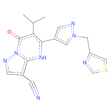 CC(C)c1c(-c2cnn(Cc3cscn3)c2)[nH]c2c(C#N)cnn2c1=O